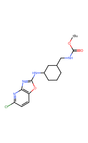 CC(C)(C)OC(=O)NCC1CCCC(Nc2nc3nc(Cl)ccc3o2)C1